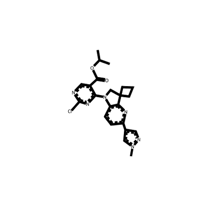 CC(C)OC(=O)c1cnc(Cl)nc1N1CC2(CCC2)c2nc(-c3cnn(C)c3)ccc21